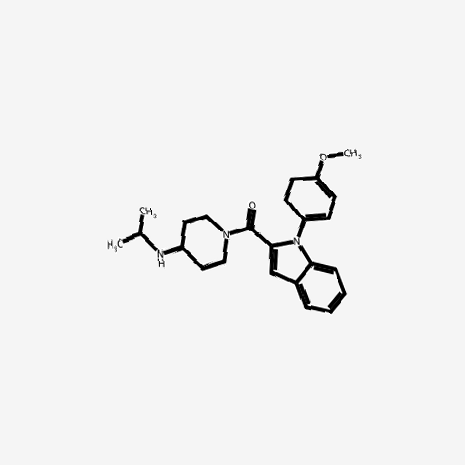 COC1=CC=C(n2c(C(=O)N3CCC(NC(C)C)CC3)cc3ccccc32)CC1